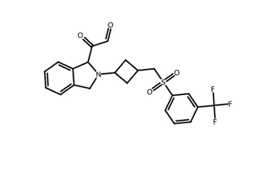 O=CC(=O)C1c2ccccc2CN1C1CC(CS(=O)(=O)c2cccc(C(F)(F)F)c2)C1